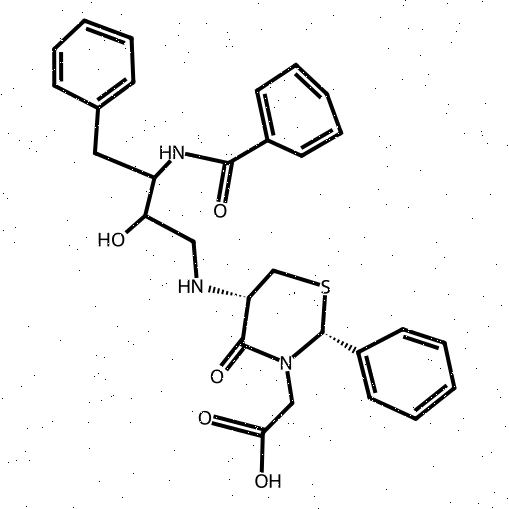 O=C(O)CN1C(=O)[C@H](NCC(O)C(Cc2ccccc2)NC(=O)c2ccccc2)CS[C@@H]1c1ccccc1